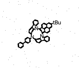 CC(C)(C)c1cc2ccc3c4c(ccc(c1)c24)c1cc3n2c3ccccc3c3ccc(cc32)n(-c2ccc(-c3ccccc3)cc2)c2ccc3c4ccccc4n1c3c2